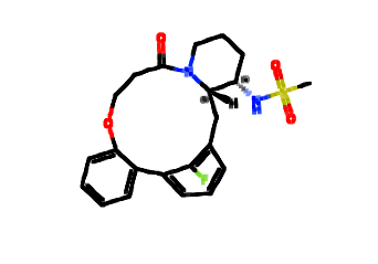 CS(=O)(=O)N[C@H]1CCCN2C(=O)CCOc3ccccc3-c3cccc(c3F)C[C@@H]12